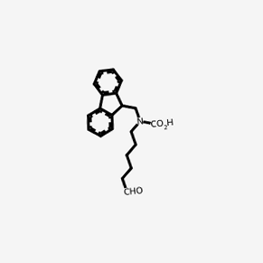 O=CCCCCCN(CC1c2ccccc2-c2ccccc21)C(=O)O